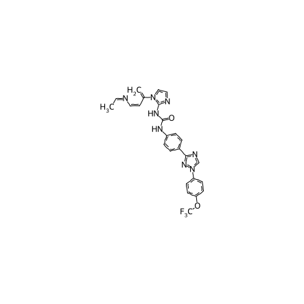 C=C(/C=C\N=C/C)n1ccnc1NC(=O)Nc1ccc(-c2ncn(-c3ccc(OC(F)(F)F)cc3)n2)cc1